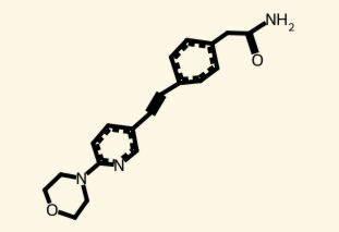 NC(=O)Cc1ccc(C#Cc2ccc(N3CCOCC3)nc2)cc1